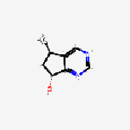 C[C@@H]1C[C@@H](O)c2ncncc21